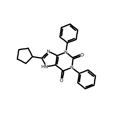 O=c1c2[nH]c(C3CCCC3)nc2n(-c2ccccc2)c(=O)n1-c1ccccc1